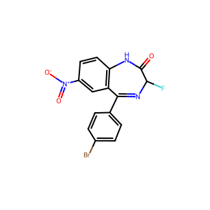 O=C1Nc2ccc([N+](=O)[O-])cc2C(c2ccc(Br)cc2)=NC1F